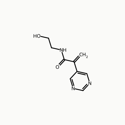 C=C(C(=O)NCCO)c1cncnc1